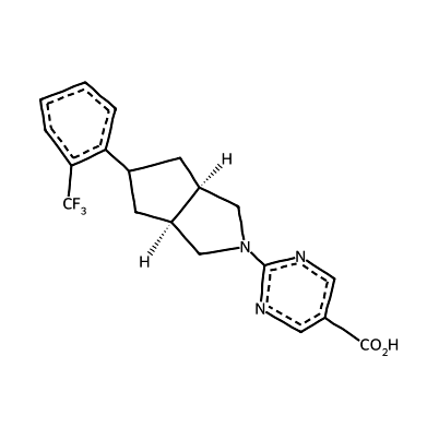 O=C(O)c1cnc(N2C[C@H]3CC(c4ccccc4C(F)(F)F)C[C@H]3C2)nc1